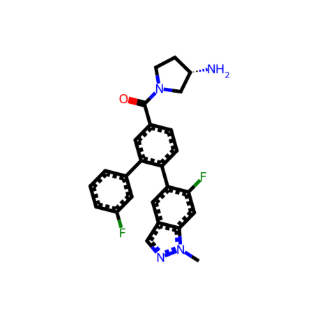 Cn1ncc2cc(-c3ccc(C(=O)N4CC[C@H](N)C4)cc3-c3cccc(F)c3)c(F)cc21